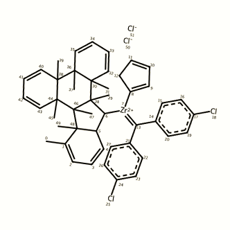 CC1=CC=CC2[CH]([Zr+2]([C]3=CC=CC3)=[C](c3ccc(Cl)cc3)c3ccc(Cl)cc3)C3(C)C4(C)C=CC=CC4(C)C4(C)C=CC=CC4(C)C3(C)C12C.[Cl-].[Cl-]